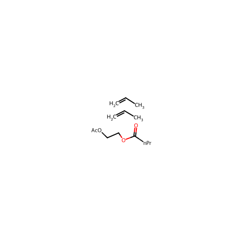 C=CC.C=CC.CCCC(=O)OCCOC(C)=O